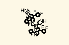 Cc1ccccc1-c1nccc2c(-c3cccc(F)c3F)cc(NC3CCNCC3)nc12.Fc1ccc(-c2cc(N3CCNCC3)nc3c(-c4c(Cl)cccc4Cl)nccc23)c(F)c1